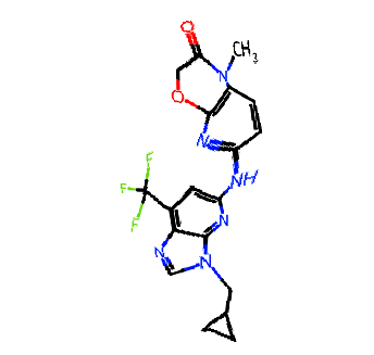 CN1C(=O)COc2nc(Nc3cc(C(F)(F)F)c4ncn(CC5CC5)c4n3)ccc21